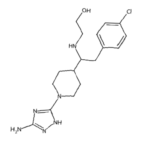 Nc1n[nH]c(N2CCC(C(Cc3ccc(Cl)cc3)NCCO)CC2)n1